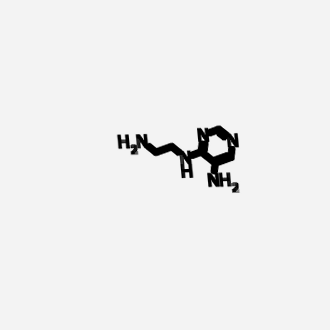 NCCNc1ncncc1N